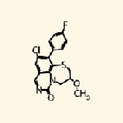 COC1CSc2c(-c3ccc(F)cc3)c(Cl)cc3cnc(=O)n(c23)C1